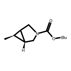 C[C@H]1C2CN(C(=O)OC(C)(C)C)C[C@@H]21